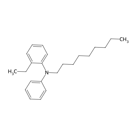 CCCCCCCCCN(c1ccccc1)c1ccccc1CC